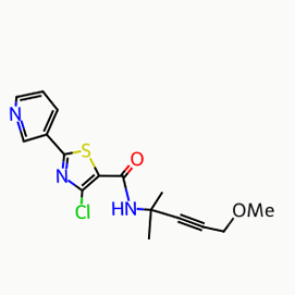 COCC#CC(C)(C)NC(=O)c1sc(-c2cccnc2)nc1Cl